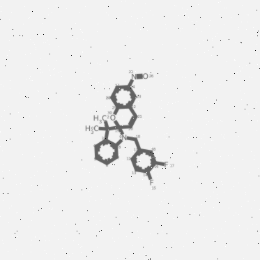 CC1(C)c2ccccc2N(Cc2ccc(F)c(F)c2)C12C=Cc1cc(N=O)ccc1O2